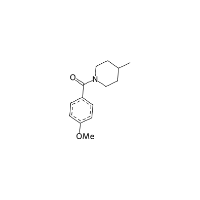 COc1ccc(C(=O)N2CCC(C)CC2)cc1